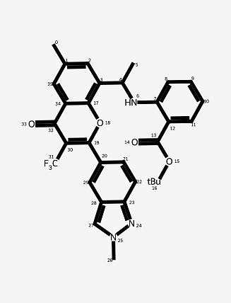 Cc1cc(C(C)Nc2ccccc2C(=O)OC(C)(C)C)c2oc(-c3ccc4nn(C)cc4c3)c(C(F)(F)F)c(=O)c2c1